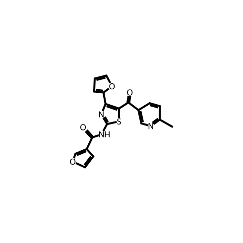 Cc1ccc(C(=O)c2sc(NC(=O)c3ccoc3)nc2-c2ccco2)cn1